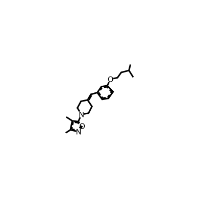 Cc1noc(N2CCC(=Cc3cccc(OCCC(C)C)c3)CC2)c1C